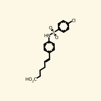 O=C(O)CCCC=Cc1ccc(NS(=O)(=O)c2ccc(Cl)cc2)cc1